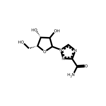 NC(=O)c1ncn(C2O[C@H](CO)[C@H](O)C2O)n1